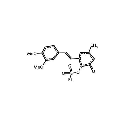 CCS(=O)(=O)On1c(C=Cc2ccc(OC)c(OC)c2)cc(C)cc1=O